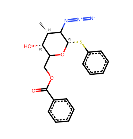 C[C@@H]1C(N=[N+]=[N-])[C@H](Sc2ccccc2)OC(COC(=O)c2ccccc2)[C@@H]1O